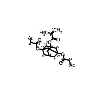 C=C(C)C(=O)OC12CC3CC(OC(=O)CC(C)=O)(CC(OC(=O)CC(C)=O)(C3)C1)C2